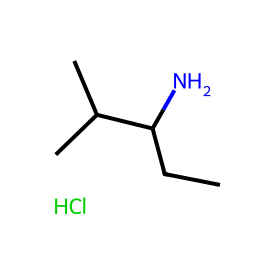 CCC(N)C(C)C.Cl